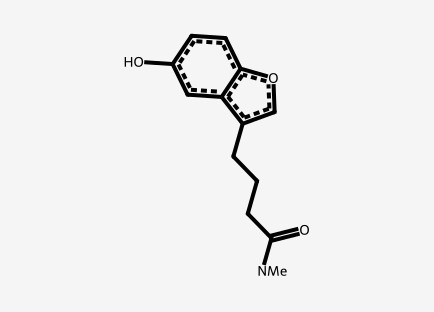 CNC(=O)CCCc1coc2ccc(O)cc12